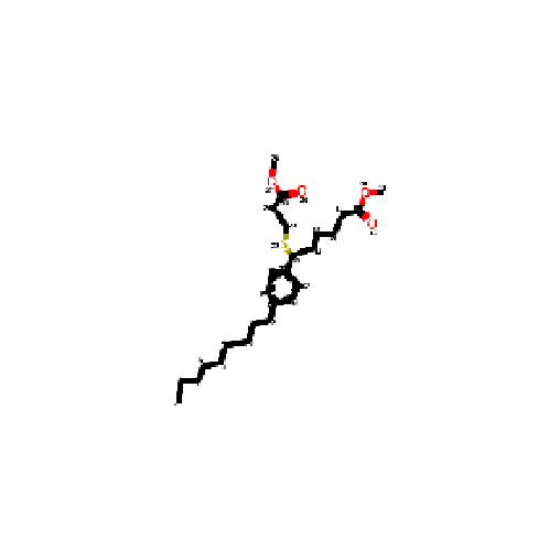 CCCCCCCCCc1ccc(C(CCCCC(=O)OC)SCCC(=O)OC)cc1